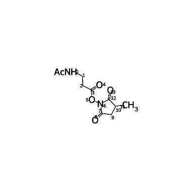 CC(=O)NCCC(=O)ON1C(=O)CC(C)C1=O